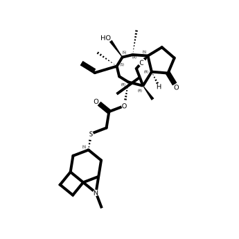 C=C[C@]1(C)C[C@@H](OC(=O)CS[C@H]2CC3CCC34C(C2)N4C)[C@]2(C)C(C)CC[C@]3(CCC(=O)[C@H]32)[C@@H](C)[C@@H]1O